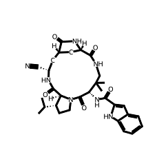 CC(C)[C@H]1CCN2C(=O)[C@@H](NC(=O)c3cc4ccccc4[nH]3)C(C)(C)CNC(=O)[C@@H]3C[C@H](C[C@@H](C#N)NC(=O)[C@H]12)C(=O)N3